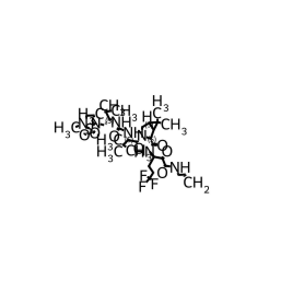 C=CCNC(=O)C(=O)C(CCC(F)(F)F)NC(=O)[C@@H]1C2[C@H](CN1C(=O)[C@@H](NC(=O)N[C@H](CN1CCN(C)S1(=O)=O)C(C)(C)C)C(C)(C)C)C2(C)C